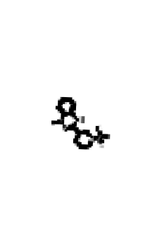 COc1ccccc1NC(=O)C1CCCN(S(C)(=O)=O)C1